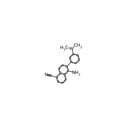 CN(C)c1cccc(-c2ccc3c(C#N)cccc3c2N)c1